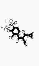 COc1c(S(C)(=O)=O)ccc(C(=O)C(C#N)C(=O)C2CC2)c1Cl